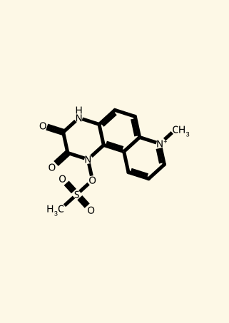 C[n+]1cccc2c3c(ccc21)[nH]c(=O)c(=O)n3OS(C)(=O)=O